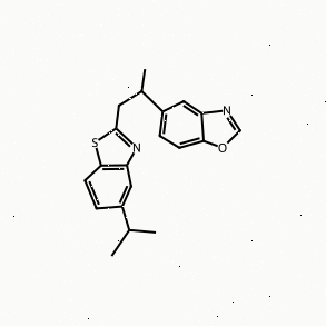 CC(C)c1ccc2sc(CC(C)c3ccc4ocnc4c3)nc2c1